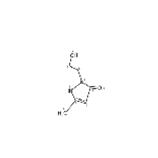 Cc1cc(=O)n(CCO)[nH]1